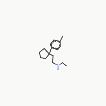 CCN(C)CCC1(c2ccc(C)cc2)CCCC1